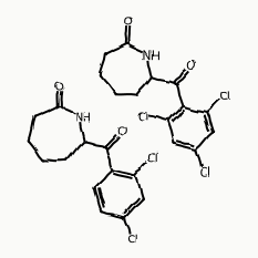 O=C1CCCCC(C(=O)c2c(Cl)cc(Cl)cc2Cl)N1.O=C1CCCCC(C(=O)c2ccc(Cl)cc2Cl)N1